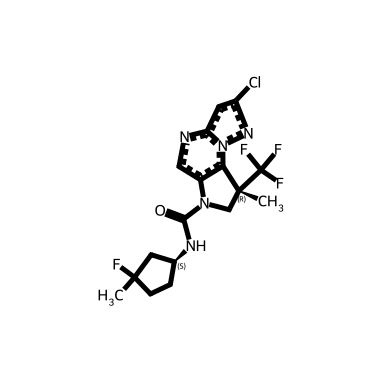 CC1(F)CC[C@H](NC(=O)N2C[C@@](C)(C(F)(F)F)c3c2cnc2cc(Cl)nn32)C1